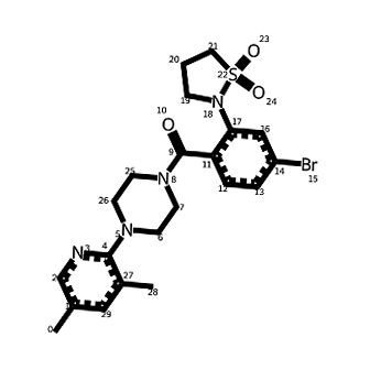 Cc1cnc(N2CCN(C(=O)c3ccc(Br)cc3N3CCCS3(=O)=O)CC2)c(C)c1